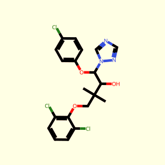 CC(C)(COc1c(Cl)cccc1Cl)C(O)C(Oc1ccc(Cl)cc1)n1cncn1